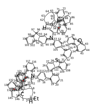 CC[C@@H]1CC2C[C@H](C)CC(C1)c1cc(N(c3ccc(-c4ccccc4-c4cccc5sc6c(-c7ccc(-c8cccc9oc%10ccccc%10c89)c(-c8ccc(N(c9ccc%10c(c9)[C@@H]9CCCC(C[C@@H](C)C9)c9ccccc9C%10(c9ccccc9)c9ccccc9)c9ccc%10c(c9)C(C)(C)c9ccccc9-%10)cc8)c7)cccc6c45)cc3)c3ccccc3-c3ccccc3)ccc1C(c1ccccc1)(c1ccccc1)c1ccccc12